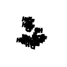 CC(Nc1ncnc2[nH]cnc12)c1cc(Cl)c2cccnc2c1N1CCN(CCO)CC1.O=C(O)C(F)(F)F.O=C(O)C(F)(F)F.O=C(O)C(F)(F)F